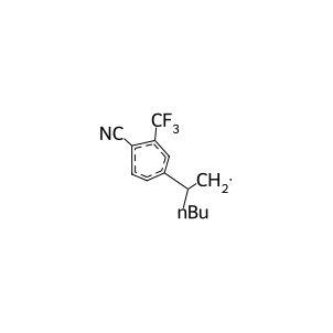 [CH2]C(CCCC)c1ccc(C#N)c(C(F)(F)F)c1